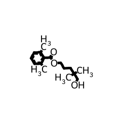 Cc1cccc(C)c1C(=O)OCCCC(C)(C)CO